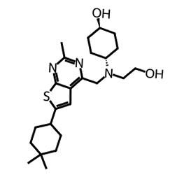 Cc1nc(CN(CCO)[C@H]2CC[C@H](O)CC2)c2cc(C3CCC(C)(C)CC3)sc2n1